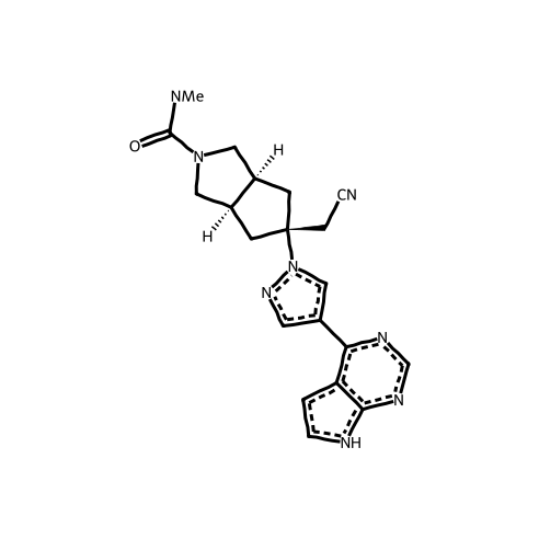 CNC(=O)N1C[C@@H]2C[C@@](CC#N)(n3cc(-c4ncnc5[nH]ccc45)cn3)C[C@@H]2C1